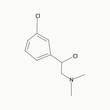 CN(C)CC(Cl)c1cccc(Cl)c1